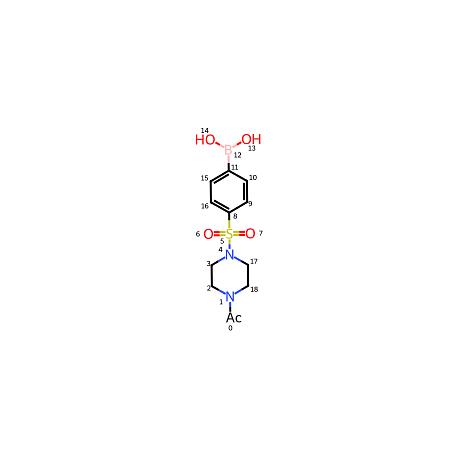 CC(=O)N1CCN(S(=O)(=O)c2ccc(B(O)O)cc2)CC1